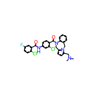 CN(C)Cc1ccc2n1Cc1ccccc1N(C(=O)c1ccc(NC(=O)c3cc(F)ccc3Cl)cc1Cl)C2